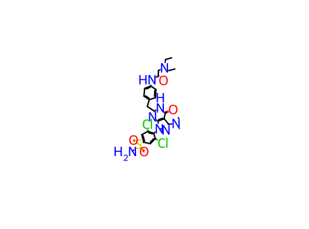 CCN(CC)CC(=O)Nc1ccc(Cc2nc3c(c(N(C)C)nn3-c3c(Cl)cc(S(N)(=O)=O)cc3Cl)c(=O)[nH]2)cc1